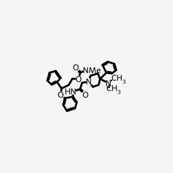 CNC(=O)OCCC(Oc1ccccc1NC(=O)CN1CCC(c2ccccc2)(N(C)C)CC1)c1ccccc1